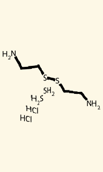 Cl.Cl.NCCSSCCN.S.S